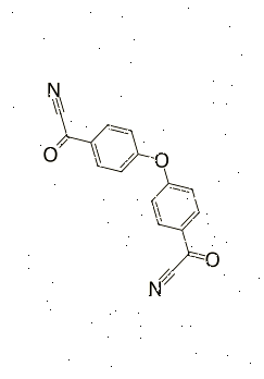 N#CC(=O)c1ccc(Oc2ccc(C(=O)C#N)cc2)cc1